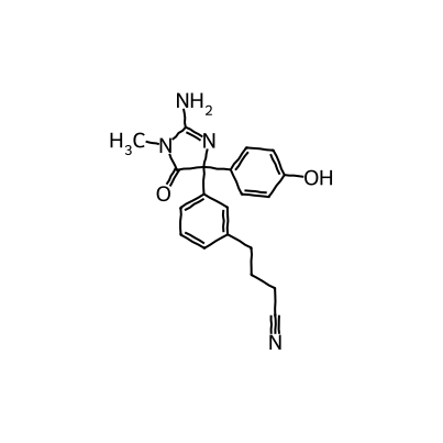 CN1C(=O)C(c2ccc(O)cc2)(c2cccc(CCCC#N)c2)N=C1N